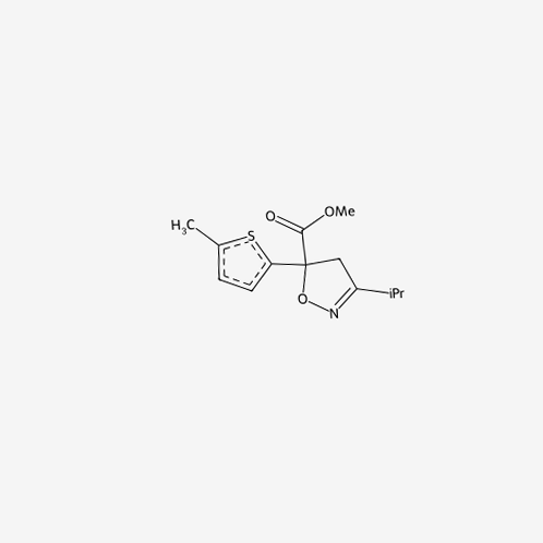 COC(=O)C1(c2ccc(C)s2)CC(C(C)C)=NO1